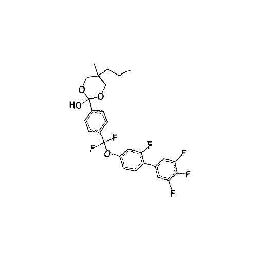 CCCC1(C)COC(O)(c2ccc(C(F)(F)Oc3ccc(-c4cc(F)c(F)c(F)c4)c(F)c3)cc2)OC1